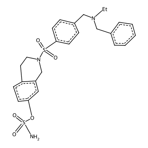 CCN(Cc1ccccc1)Cc1ccc(S(=O)(=O)N2CCc3ccc(OS(N)(=O)=O)cc3C2)cc1